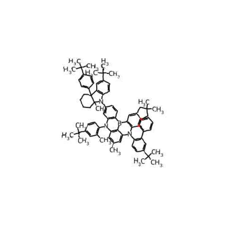 Cc1cc2c3c(c1)N(c1ccc(C(C)(C)C)cc1-c1ccccc1)c1cc4c(cc1B3c1ccc(N3c5ccc(C(C)(C)C)cc5C5(c6ccc(C(C)(C)C)cc6)CCCCC35C)cc1N2c1ccc(C(C)(C)C)cc1C)CC(C)(C)C4